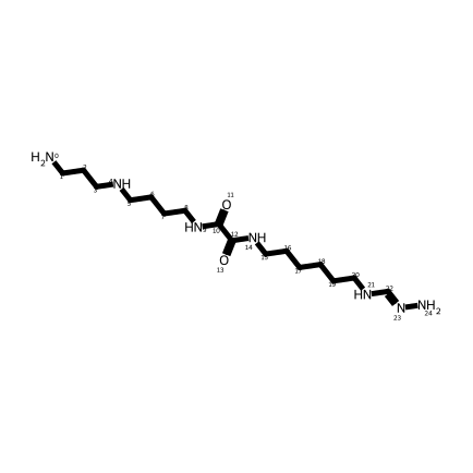 NCCCNCCCCNC(=O)C(=O)NCCCCCCNC=NN